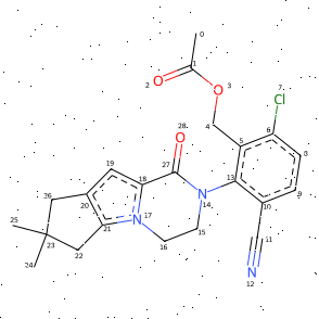 CC(=O)OCc1c(Cl)ccc(C#N)c1N1CCn2c(cc3c2CC(C)(C)C3)C1=O